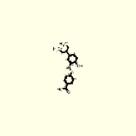 CCC(CC)c1ccc(O)c(/N=N/c2ccc(C(=O)O)cc2)c1